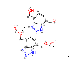 O=COCc1ccc(COC=O)c2[nH]nnc12.OCc1ccc(CO)c2[nH]nnc12